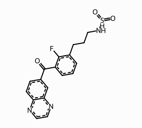 O=C(c1ccc2nccnc2c1)c1cccc(CCCN[SH](=O)=O)c1F